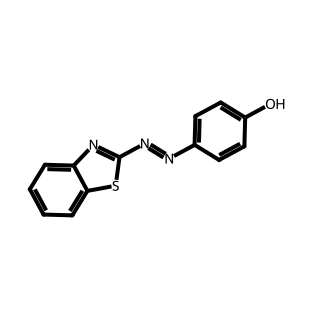 Oc1ccc(N=Nc2nc3ccccc3s2)cc1